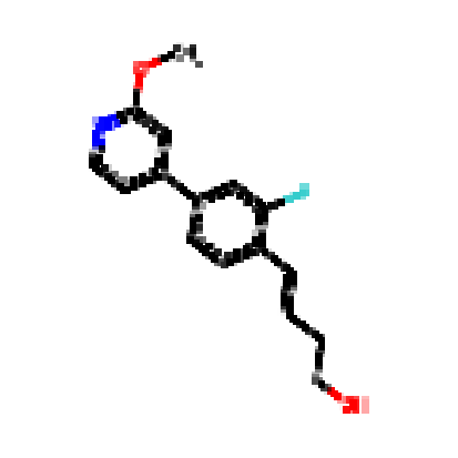 COc1cc(-c2ccc(C=CCCO)c(F)c2)ccn1